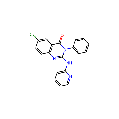 O=c1c2cc(Cl)ccc2nc(Nc2ccccn2)n1-c1ccccc1